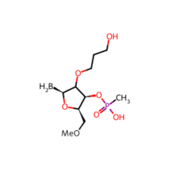 B[C@@H]1O[C@H](COC)[C@H](OP(C)(=O)O)C1OCCCO